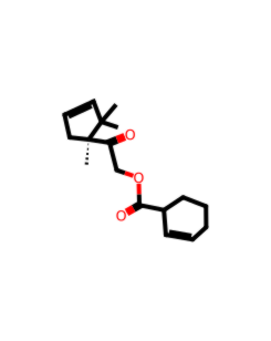 CC1(C)C=CC[C@]1(C)C(=O)COC(=O)C1C=CCCC1